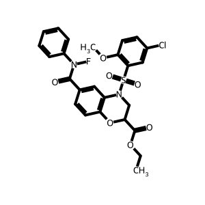 CCOC(=O)C1CN(S(=O)(=O)c2cc(Cl)ccc2OC)c2cc(C(=O)N(F)c3ccccc3)ccc2O1